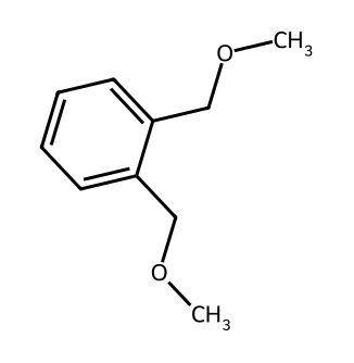 COCc1ccccc1COC